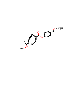 CCCCCCCOC(C)c1ccc(OC(=O)c2ccc(C(C)OCCC)cc2)cc1